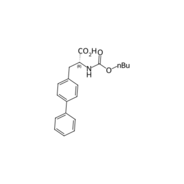 CCCCOC(=O)N[C@H](Cc1ccc(-c2ccccc2)cc1)C(=O)O